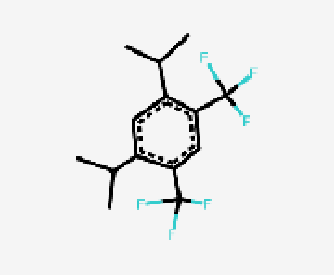 CC(C)c1cc(C(C)C)c(C(F)(F)F)cc1C(F)(F)F